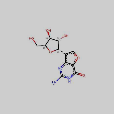 Nc1nc2c([C@@H]3O[C@H](CO)[C@@H](O)[C@@H]3O)coc2c(=O)[nH]1